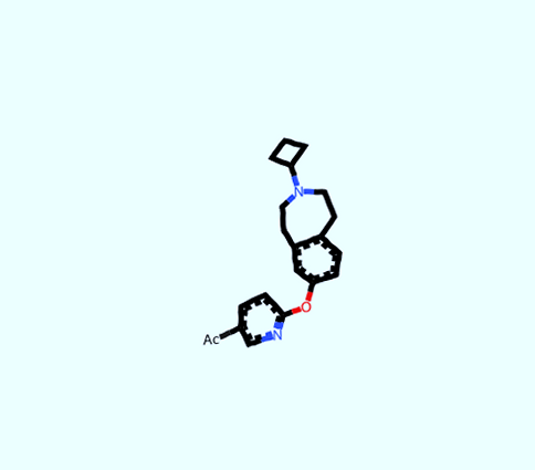 CC(=O)c1ccc(Oc2ccc3c(c2)CCN(C2CCC2)CC3)nc1